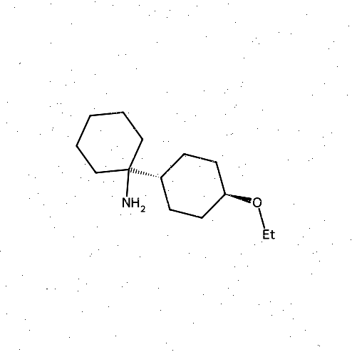 CCO[C@H]1CC[C@H](C2(N)CCCCC2)CC1